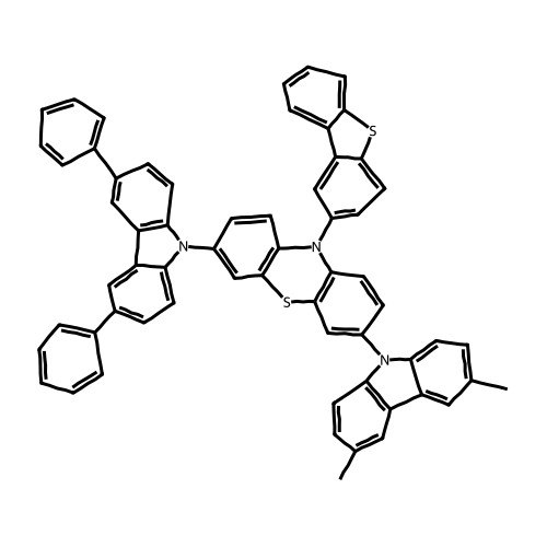 Cc1ccc2c(c1)c1cc(C)ccc1n2-c1ccc2c(c1)Sc1cc(-n3c4ccc(-c5ccccc5)cc4c4cc(-c5ccccc5)ccc43)ccc1N2c1ccc2sc3ccccc3c2c1